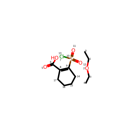 CCOCC.O=C(O)C1=C(S(=O)(=O)Cl)CCCC1